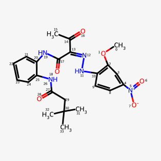 COc1cc([N+](=O)[O-])ccc1N/N=C(/C(C)=O)C(=O)Nc1ccccc1NC(=O)CC(C)(C)C